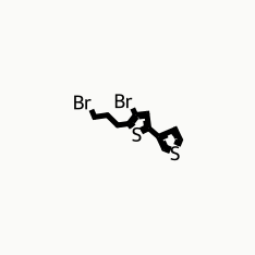 BrCCCc1sc(-c2ccsc2)cc1Br